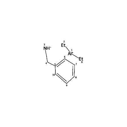 C[CH2][Al+][CH2]C.[NH-]Cc1ccccc1